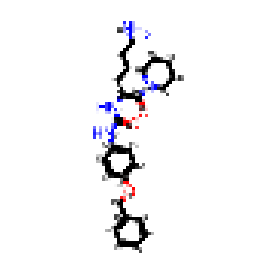 NCCCC[C@H](NC(=O)Nc1ccc(OCc2ccccc2)cc1)C(=O)N1CCCCC1